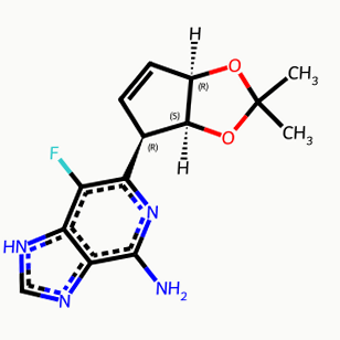 CC1(C)O[C@H]2[C@@H](c3nc(N)c4nc[nH]c4c3F)C=C[C@H]2O1